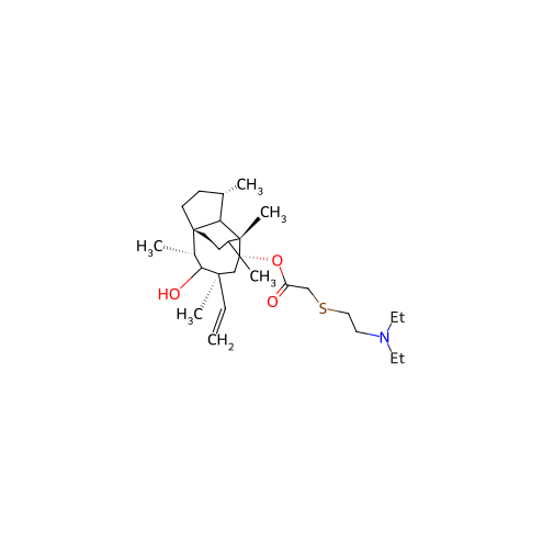 C=C[C@]1(C)C[C@@H](OC(=O)CSCCN(CC)CC)[C@]2(C)C(C)CC[C@]3(CC[C@H](C)C32)[C@@H](C)C1O